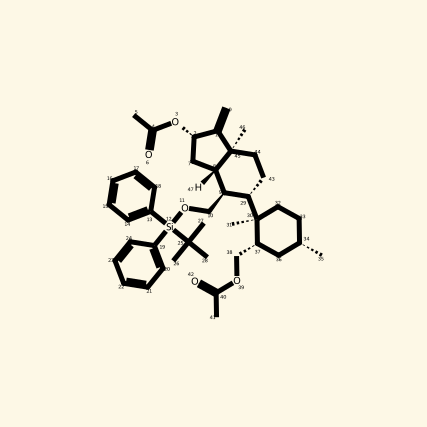 C=C1[C@@H](OC(C)=O)C[C@H]2[C@H](CO[Si](c3ccccc3)(c3ccccc3)C(C)(C)C)[C@@H]([C@@]3(C)CC[C@H](C)C[C@@H]3COC(C)=O)CC[C@]12C